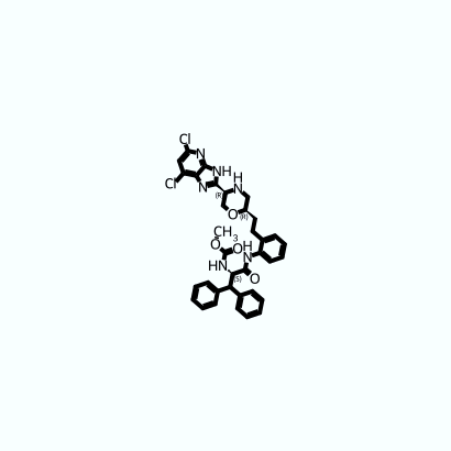 COC(=O)N[C@H](C(=O)Nc1ccccc1CC[C@@H]1CN[C@H](c2nc3c(Cl)cc(Cl)nc3[nH]2)CO1)C(c1ccccc1)c1ccccc1